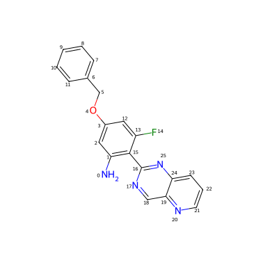 Nc1cc(OCc2ccccc2)cc(F)c1-c1ncc2ncccc2n1